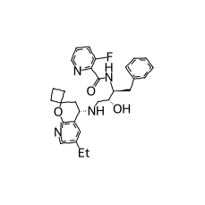 CCc1cnc2c(c1)[C@@H](NC[C@@H](O)[C@H](Cc1ccccc1)NC(=O)c1ncccc1F)CC1(CCC1)O2